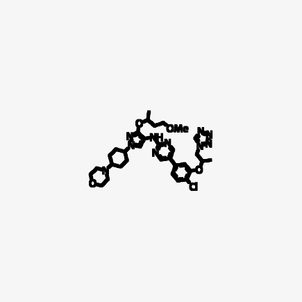 COCCC(C)Oc1nn(C2CCC(N3CCOCC3)CC2)cc1Nc1ncc(-c2ccc(Cl)c(OC(C)Cn3cnnn3)c2)cn1